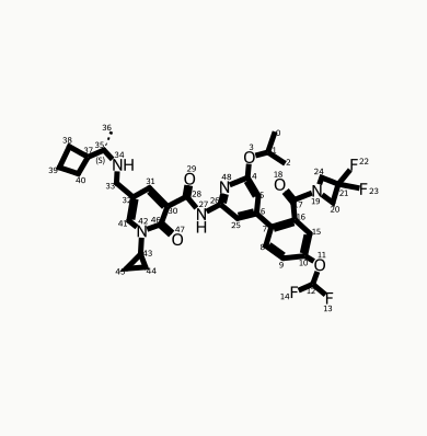 CC(C)Oc1cc(-c2ccc(OC(F)F)cc2C(=O)N2CC(F)(F)C2)cc(NC(=O)c2cc(CN[C@@H](C)C3CCC3)cn(C3CC3)c2=O)n1